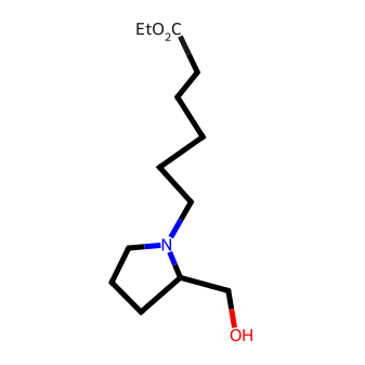 CCOC(=O)CCCCCN1CCCC1CO